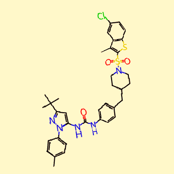 Cc1ccc(-n2nc(C(C)(C)C)cc2NC(=O)Nc2ccc(CC3CCN(S(=O)(=O)c4sc5ccc(Cl)cc5c4C)CC3)cc2)cc1